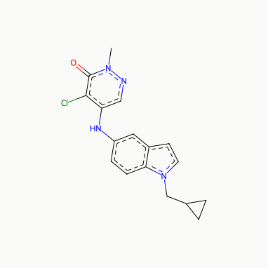 Cn1ncc(Nc2ccc3c(ccn3CC3CC3)c2)c(Cl)c1=O